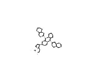 Cn1ccc2c(-c3ccc4c(-c5ccc6ccccc6c5)c5ccccc5c(-c5ccc6ccccc6c5)c4c3)ccn2c1=O